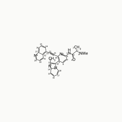 CNC(C)C(=O)Nc1ccc(-c2c(C)nc3ccccn23)c(C#Cc2cccc3ncccc23)n1